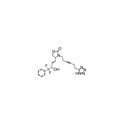 O=C1OCC(C=CC(O)C(F)(F)c2ccccc2)N1CCC#CCCc1nnn[nH]1